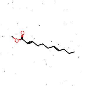 CCCC=CCCCC=CC(=O)OC